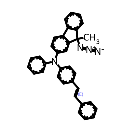 CC1(N=[N+]=[N-])c2ccccc2-c2ccc(N(c3ccccc3)c3ccc(/C=C/c4ccccc4)cc3)cc21